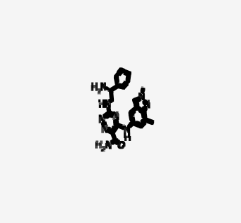 Cc1cc(Nc2nc(NC[C@@H](N)c3ccccc3)nnc2C(N)=O)cc2cn(C)nc12